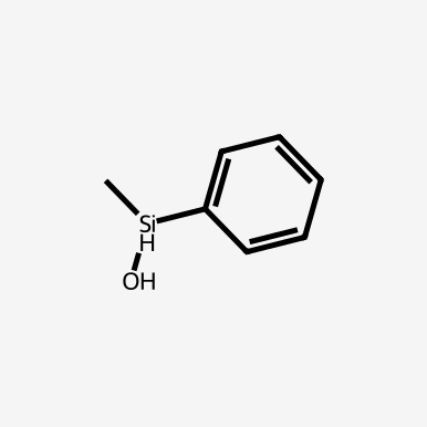 C[SiH](O)c1ccccc1